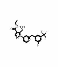 CCOC(=O)c1cnn(-c2ccnc(Cc3cc(F)cc(C(F)(F)F)c3)c2)c1CO